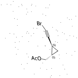 CC(=O)OC[C@H]1C[C@@H]1C#CBr